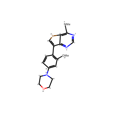 CNc1ncnc2c(-c3ccc(N4CCOCC4)cc3OC)csc12